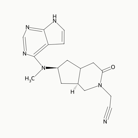 CN(c1ncnc2[nH]ccc12)[C@H]1CC2CC(=O)N(CC#N)C[C@H]2C1